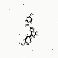 COc1ccc(Nc2nc3c(-c4ccc(O)nc4)nccn3n2)cc1